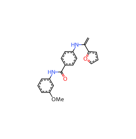 C=C(Nc1ccc(C(=O)Nc2cccc(OC)c2)cc1)c1ccco1